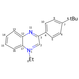 CC[n+]1cc(-c2ccc(C(C)(C)C)cc2)nc2ccccc21